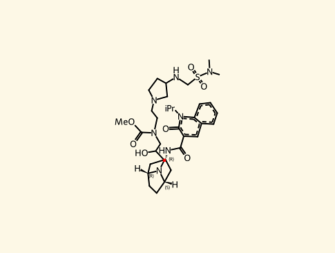 COC(=O)N(CCN1CCC(NCS(=O)(=O)N(C)C)C1)CC(O)CN1[C@@H]2CC[C@H]1C[C@@H](NC(=O)c1cc3ccccc3n(C(C)C)c1=O)C2